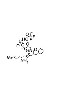 CCC(=O)OC(C)OC(=O)CNC(=O)C(CSSCC(N)CCSC)Cc1ccccc1.O=C(O)C(F)(F)F